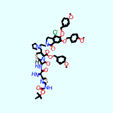 COc1ccc(COC(=O)C2=C(C[N+]3(CCN4CCc5c(cc(OCc6ccc(OC)cc6)c(OCc6ccc(OC)cc6)c5Cl)C4=O)CCCC3)CS[C@@H]3[C@H](NC(=O)C(=N)c4csc(NC(=O)OC(C)(C)C)n4)C(=O)N23)cc1